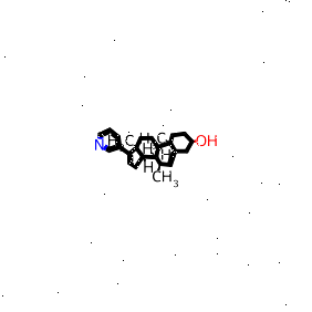 C[C@@H]1C=C2C[C@H](O)CC[C@]2(C)[C@H]2CC[C@]3(C)C(c4cccnc4)=CC[C@H]3[C@H]12